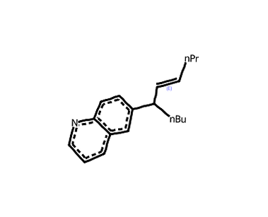 CCC/C=C/C(CCCC)c1ccc2ncccc2c1